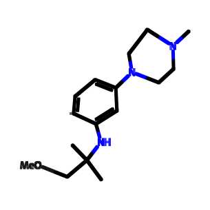 COCC(C)(C)Nc1[c]ccc(N2CCN(C)CC2)c1